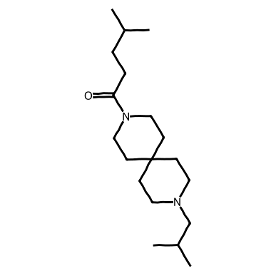 CC(C)CCC(=O)N1CCC2(CCN(CC(C)C)CC2)CC1